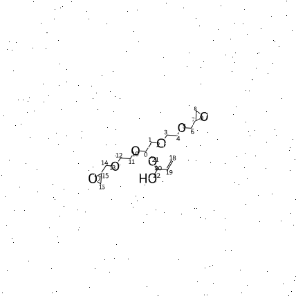 C(COCCOCC1CO1)OCCOCC1CO1.C=CC(=O)O